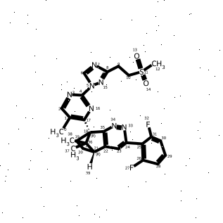 Cc1cnc(-n2cnc(CCS(C)(=O)=O)n2)nc1[C@]12CC[C@@H](c3cc(-c4c(F)cccc4F)nnc31)C2(C)C